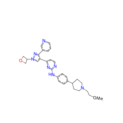 COCCN1CCC(c2ccc(Nc3nccc(-c4cn(C5COC5)nc4-c4cccnc4)n3)cc2)CC1